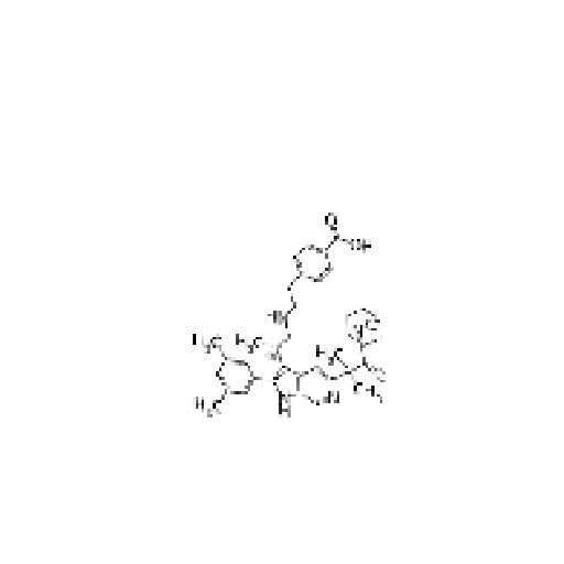 Cc1cc(C)cc(-c2[nH]c3cnc(C(C)(C)C(=O)N4CC5CCC4CC5)cc3c2[C@H](C)CNCCc2ccc(C(=O)O)cc2)c1